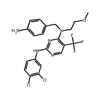 COCCN(Cc1ccc(N)cc1)c1nc(Nc2ccc(Cl)c(Cl)c2)ncc1C(F)(F)F